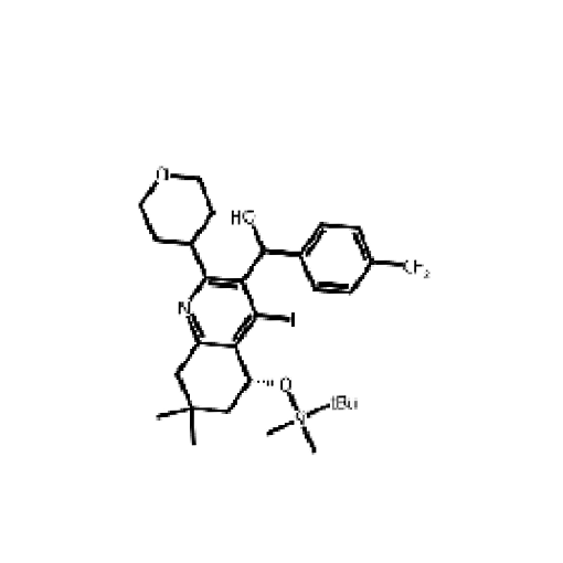 CC1(C)Cc2nc(C3CCOCC3)c(C(O)c3ccc(C(F)(F)F)cc3)c(I)c2[C@H](O[Si](C)(C)C(C)(C)C)C1